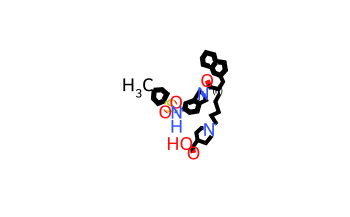 Cc1ccc(S(=O)(=O)Nc2ccc3c(c2)CN(C(=O)[C@H](CCCCCN2CCC(C(=O)O)CC2)Cc2ccc4ccccc4c2)C3)cc1